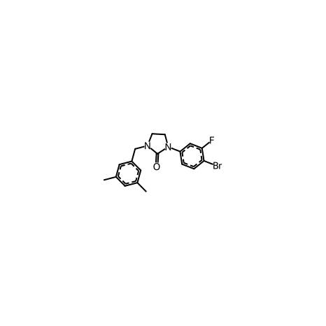 Cc1cc(C)cc(CN2CCN(c3ccc(Br)c(F)c3)C2=O)c1